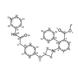 COC(=O)c1cccc(N2CC(Oc3ccc(CC(=O)Nc4cccnc4)cc3)C2)c1-c1ccccc1